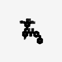 CC(C)(C)c1cc(CCc2ccc(F)cc2NC(=O)NC2CCN(Cc3ccccc3)CC2)cc(C(C)(C)C)c1O